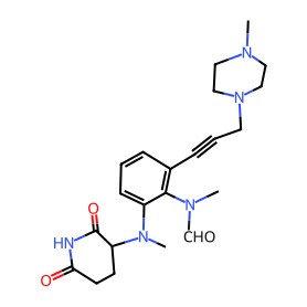 CN1CCN(CC#Cc2cccc(N(C)C3CCC(=O)NC3=O)c2N(C)C=O)CC1